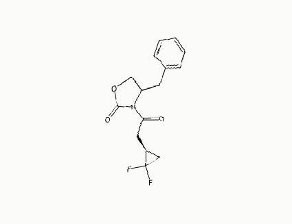 O=C(C[C@H]1CC1(F)F)N1C(=O)OCC1Cc1ccccc1